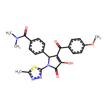 COc1ccc(C(=O)C2=C(O)C(=O)N(c3nnc(C)s3)C2c2ccc(C(=O)N(C)C)cc2)cc1